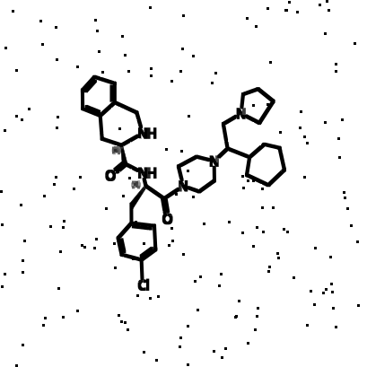 O=C(N[C@H](Cc1ccc(Cl)cc1)C(=O)N1CCN(C(CN2CCCC2)C2CCCCC2)CC1)[C@H]1Cc2ccccc2CN1